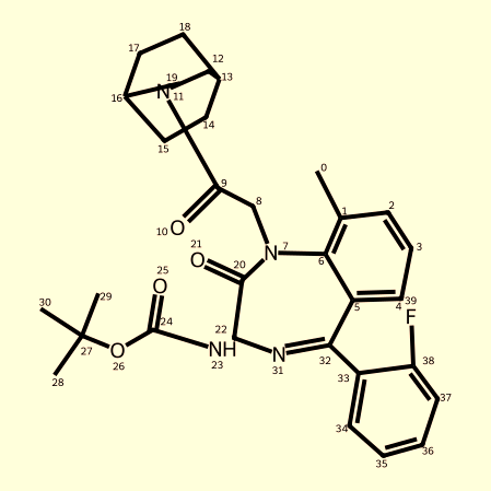 Cc1cccc2c1N(CC(=O)N1CC3CCC(CC3)C1)C(=O)[C@@H](NC(=O)OC(C)(C)C)N=C2c1ccccc1F